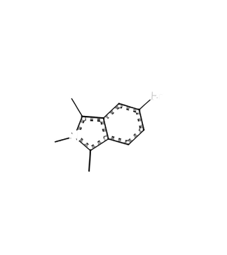 Cc1c2ccc(Br)cc2c(C)n1C